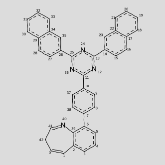 C1=Cc2cccc(-c3ccc(-c4nc(-c5ccc6ccccc6c5)nc(-c5ccc6ccccc6c5)n4)cc3)c2N=CC1